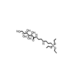 CCO[Si](CCCNCCNC(=O)[C@H](O)[C@@H](O)[C@H](O)[C@H](O)CO)(OCC)OCC